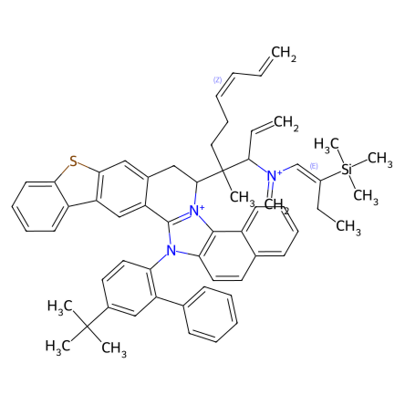 C=C/C=C\CCC(C)(C(C=C)[N+](=C)/C=C(\CC)[Si](C)(C)C)C1Cc2cc3sc4ccccc4c3cc2-c2n(-c3ccc(C(C)(C)C)cc3-c3ccccc3)c3ccc4ccccc4c3[n+]21